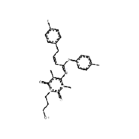 Cc1ccc(OC(/C=C\Cc2ccc(F)cc2)=N/c2c(C)c(=O)n(CCCO)c(=O)n2C)cc1